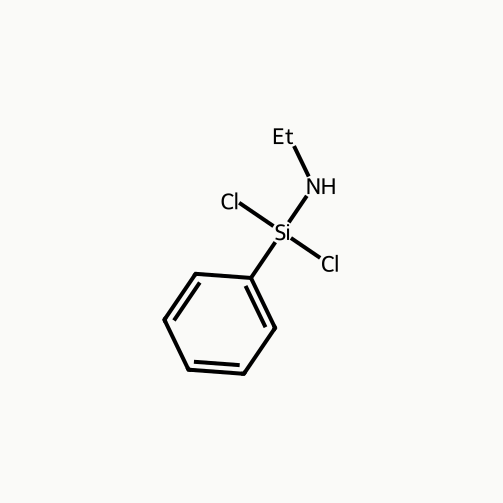 CCN[Si](Cl)(Cl)c1ccccc1